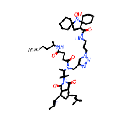 C/C=C/C1CC(C=C(C)C)C2C(=O)N(C(C)(C)C(C)N(Cc3cn(CCCNC(=O)C4CC5(CCCCC5)N(O)C45CCCCC5)nn3)C(=O)CCC(=O)NC(C)CCOC)C(=O)C12